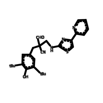 CC(C)(C)c1cc(CC(C#N)(C=O)CNc2nc(-c3ccccn3)cs2)cc(C(C)(C)C)c1O